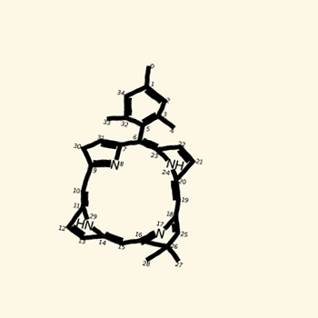 Cc1cc(C)c(-c2c3nc(cc4ccc(cc5nc(cc6ccc2[nH]6)=CC5(C)C)[nH]4)CC=3)c(C)c1